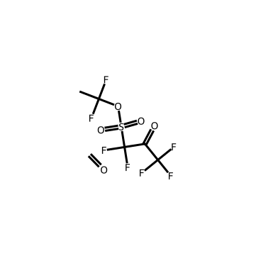 C=O.CC(F)(F)OS(=O)(=O)C(F)(F)C(=O)C(F)(F)F